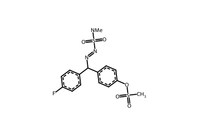 CNS(=O)(=O)N=NC(c1ccc(F)cc1)c1ccc(OS(C)(=O)=O)cc1